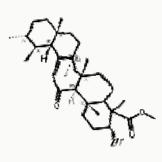 COC(=O)C1(C)C(Br)CC[C@@]2(C)C1CC[C@]1(C)[C@@H]2C(=O)C=C2[C@@H]3[C@@H](C)[C@H](C)CC[C@]3(C)CC[C@]21C